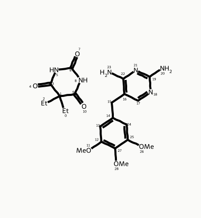 CCC1(CC)C(=O)NC(=O)NC1=O.COc1cc(Cc2cnc(N)nc2N)cc(OC)c1OC